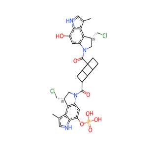 Cc1c[nH]c2c(O)cc3c(c12)[C@H](CCl)CN3C(=O)C12C3C4C1C1C2C3C41C(=O)N1C[C@@H](CCl)c2c1cc(OP(=O)(O)O)c1[nH]cc(C)c21